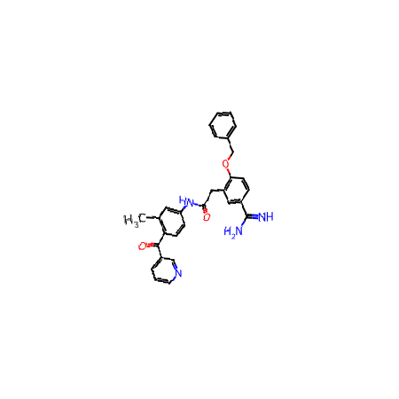 Cc1cc(NC(=O)Cc2cc(C(=N)N)ccc2OCc2ccccc2)ccc1C(=O)c1cccnc1